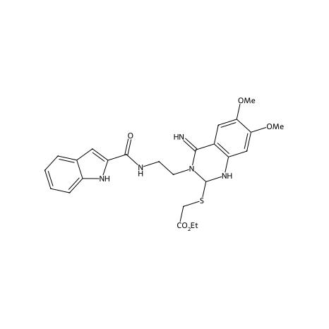 CCOC(=O)CSC1Nc2cc(OC)c(OC)cc2C(=N)N1CCNC(=O)c1cc2ccccc2[nH]1